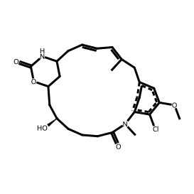 COc1cc2cc(c1Cl)N(C)C(=O)CCC[C@@H](O)CC1CC(C/C=C/C=C(\C)C2)NC(=O)O1